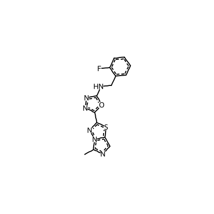 Cc1ncc2sc(-c3nnc(NCc4ccccc4F)o3)nn12